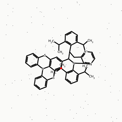 CC(C)c1cccc2c1C1Cc3c(ncc[n+]3C2C)N(c2c(C(C)C)cccc2C(C)C)C1c1cc2c3c(c1)Sc1ccccc1B3c1ccccc1S2